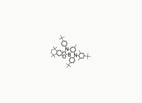 Cc1cc2c3c(c1)N(c1ccc(C(C)(C)C)cc1)c1c(oc4cc5c(cc14)C(C)(C)CCC5(C)C)B3c1cc(C(C)(C)C)ccc1N2c1c(C)cc(C(C)(C)C)cc1C